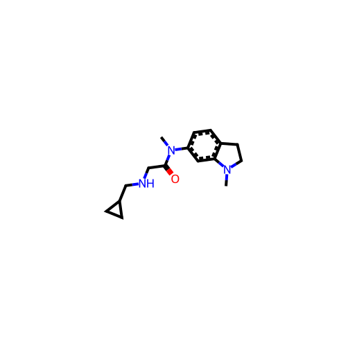 CN1CCc2ccc(N(C)C(=O)CNCC3CC3)cc21